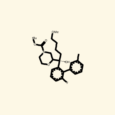 COCCCC[C@@](O)(c1cccc(F)c1-c1cccc(C)c1)C1CN(C(=O)OC(C)(C)C)CCO1